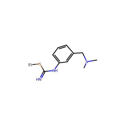 CCSC(=N)Nc1cccc(CN(C)C)c1